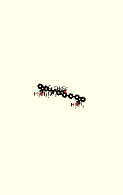 C=CC(/C(C=C)=C(\C)c1ccc2c(c1)C(C)(C(F)(F)F)c1cc(-c3ccc(-c4ccc5c(c4)C(CC)(CC)c4ccccc4-5)cc3)ccc1-2)=C(/C)c1ccc2c(c1)C(CC)(CC)c1ccccc1-2